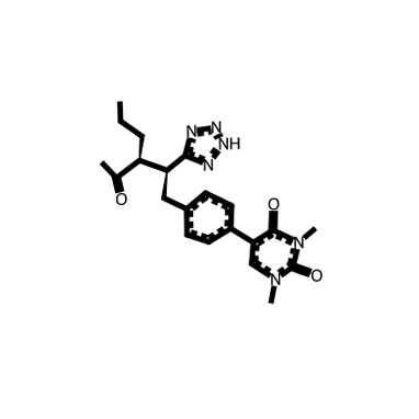 CCC[C@H](C(C)=O)[C@H](Cc1ccc(-c2cn(C)c(=O)n(C)c2=O)cc1)c1nn[nH]n1